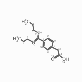 CCCN=C(NCCC)c1ccc(CC(=O)O)cc1